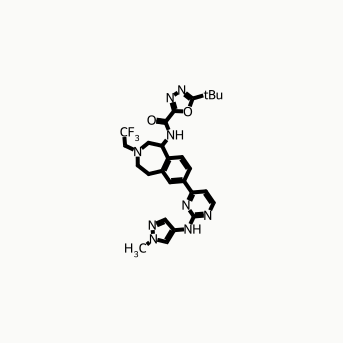 Cn1cc(Nc2nccc(-c3ccc4c(c3)CCN(CC(F)(F)F)CC4NC(=O)c3nnc(C(C)(C)C)o3)n2)cn1